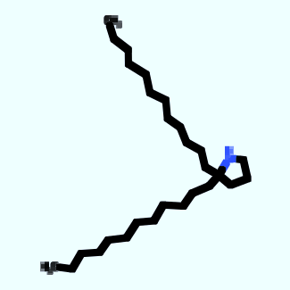 CCCCCCCCCCCCC1(CCCCCCCCCCCC)CCCN1